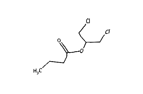 CCCC(=O)OC(CCl)CCl